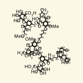 C=C1CC2C(O)N(C(=O)OCc3ccc(O[C@@H]4O[C@H](C(=O)O)[C@@H](O)[C@H](O)[C@H]4O)c(C(=O)NCCOC)c3)c3cc(OCCCCCOc4cc5c(cc4OC)C(=O)N4CC(C)(C)C[C@H]4C(O)N5C(=O)OCc4ccc(O[C@@H]5O[C@H](C(=O)O)[C@@H](O)[C@H](O)[C@H]5O)c(C(=O)NCCCNC(=O)[C@H](Cc5c[nH]cn5)N5C(=O)C=CC5=O)c4)c(OC)cc3C(=O)N2C1